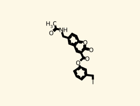 CC(=O)NCc1ccc2oc(=O)c(C(=O)Oc3cccc(CI)c3)cc2c1